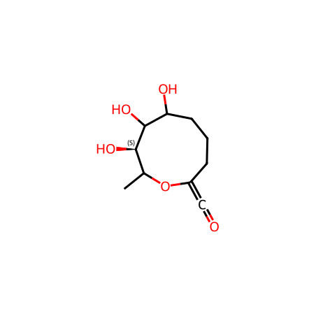 CC1OC(=C=O)CCCC(O)C(O)[C@@H]1O